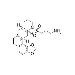 NCCCS(=O)(=O)N1CCC[C@H]2CN3CCc4ccc5c(c4[C@@H]3C[C@H]21)OCO5